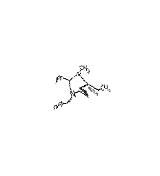 CCCN1C[C@H](C)N(C)C1C(C)C